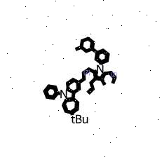 C=CCc1c(C)c(/C=C\C)n(-c2cccc(C3=CCCC(C)C3)c2)c1/C=C\CC1=CC2C3=C(C=CC(C(C)(C)C)=C=C3)N(c3ccccc3)C2C=C1